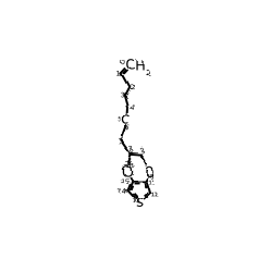 C=CCCCCCCC1COc2cscc2O1